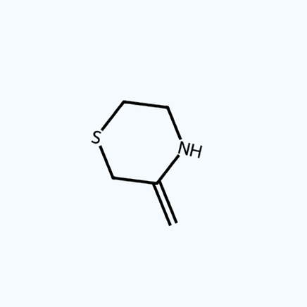 C=C1CSCCN1